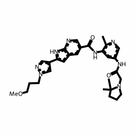 COCCCn1cc(-c2cc3cc(C(=O)Nc4cc(NC(=O)CN5CCCC5(C)C)cnc4C)cnc3[nH]2)cn1